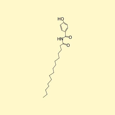 CCCCCCCCCCCCCCCC(=O)NC(=O)c1ccc(O)cc1